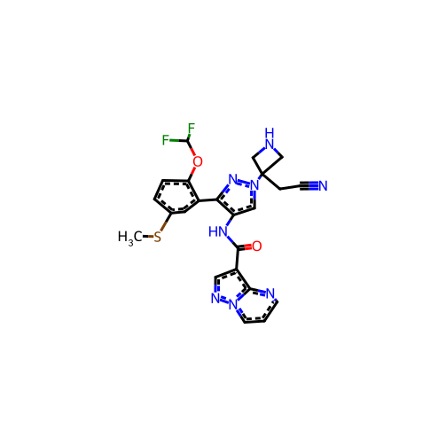 CSc1ccc(OC(F)F)c(-c2nn(C3(CC#N)CNC3)cc2NC(=O)c2cnn3cccnc23)c1